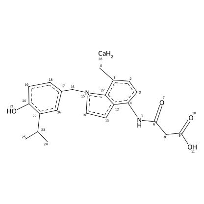 Cc1ccc(NC(=O)CC(=O)O)c2ccn(Cc3ccc(O)c(C(C)C)c3)c12.[CaH2]